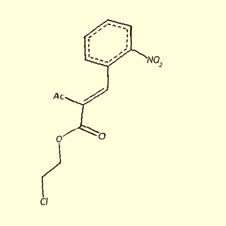 CC(=O)/C(=C\c1ccccc1[N+](=O)[O-])C(=O)OCCCl